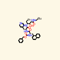 CCC(C)CNC(=O)CC(O)C(CC(C)C)NC(=O)[C@H](Cc1ccncc1)NC(=O)[C@H](Cc1cccc2ccccc12)NC(=O)OCc1ccccc1